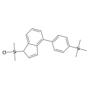 C[Si](C)(C)c1ccc(-c2cccc3c2C=CC3[Si](C)(C)Cl)cc1